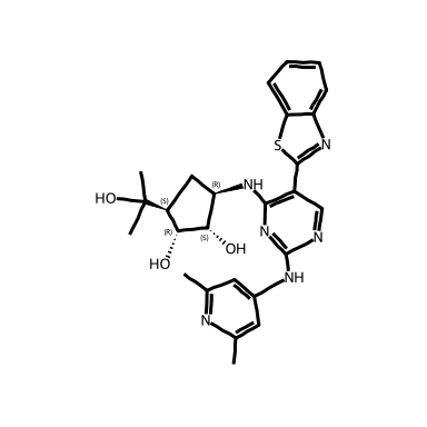 Cc1cc(Nc2ncc(-c3nc4ccccc4s3)c(N[C@@H]3C[C@H](C(C)(C)O)[C@@H](O)[C@H]3O)n2)cc(C)n1